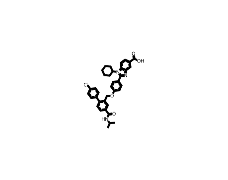 CC(C)NC(=O)c1ccc(-c2ccc(Cl)cc2)c(COc2ccc(-c3nc4cc(C(=O)O)ccc4n3C3CCCCC3)cc2)c1